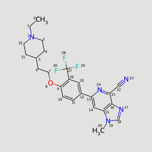 CCN1CCC(CCOc2ccc(-c3cc4c(ncn4C)c(C#N)n3)cc2C(F)(F)F)CC1